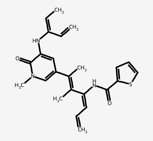 C=C/C=C(NC(=O)c1cccs1)\C(C)=C(/C)c1cc(N/C(C=C)=C/C)c(=O)n(C)c1